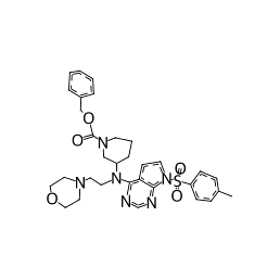 Cc1ccc(S(=O)(=O)n2ccc3c(N(CCN4CCOCC4)C4CCCN(C(=O)OCc5ccccc5)C4)ncnc32)cc1